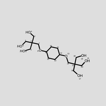 OCC(CO)(CO)COC1CCC(OCC(CO)(CO)CO)CC1